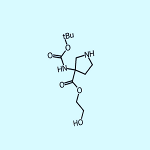 CC(C)(C)OC(=O)NC1(C(=O)OCCO)CCNC1